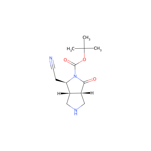 CC(C)(C)OC(=O)N1C(=O)[C@@H]2CNC[C@@H]2[C@H]1CC#N